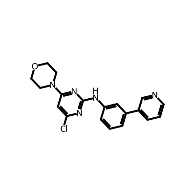 Clc1cc(N2CCOCC2)nc(Nc2cccc(-c3cccnc3)c2)n1